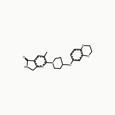 Cc1cc2c(nc1N1CCC(Oc3ccc4c(c3)OCCO4)CC1)CNC2=O